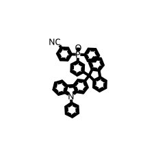 N#Cc1cccc(P(=O)(c2ccccc2)c2cccc(C3(c4ccc5c(c4)c4ccccc4n5-c4ccccc4)c4ccccc4-c4ccccc43)c2)c1